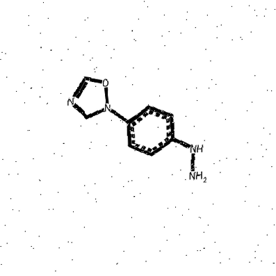 NNc1ccc(N2CN=CO2)cc1